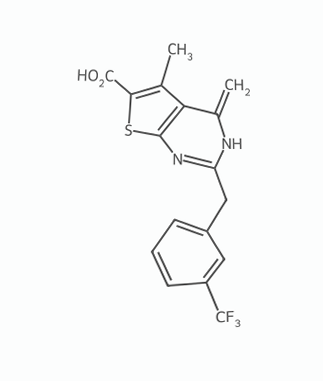 C=C1NC(Cc2cccc(C(F)(F)F)c2)=Nc2sc(C(=O)O)c(C)c21